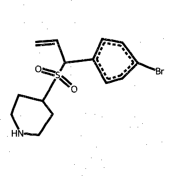 C=CC(c1ccc(Br)cc1)S(=O)(=O)C1CCNCC1